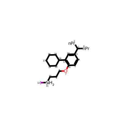 CCCC(CCC)c1ccc(OCCC[SiH2]I)c(C2CCCCC2)c1